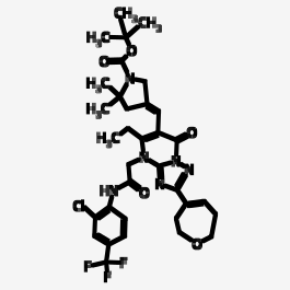 CCc1c(/C=C2/CN(C(=O)OC(C)(C)C)C(C)(C)C2)c(=O)n2nc(C3=CCCOCC3)nc2n1CC(=O)Nc1ccc(C(F)(F)F)cc1Cl